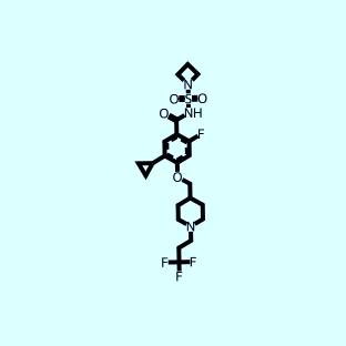 O=C(NS(=O)(=O)N1CCC1)c1cc(C2CC2)c(OCC2CCN(CCC(F)(F)F)CC2)cc1F